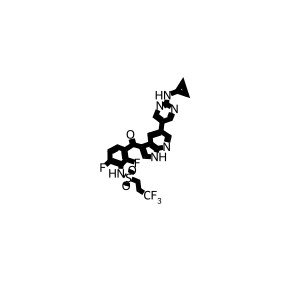 O=C(c1ccc(F)c(NS(=O)(=O)CCC(F)(F)F)c1F)c1c[nH]c2ncc(-c3cnc(NC4CC4)nc3)cc12